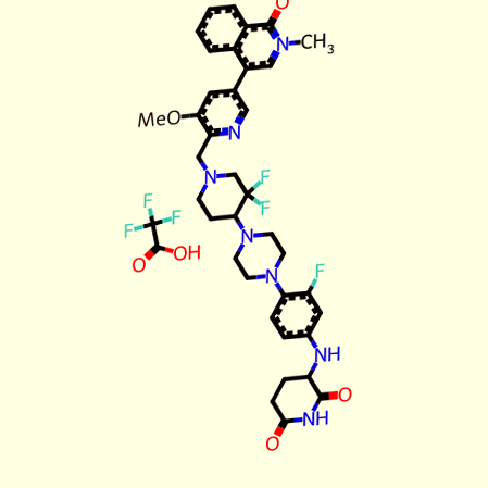 COc1cc(-c2cn(C)c(=O)c3ccccc23)cnc1CN1CCC(N2CCN(c3ccc(NC4CCC(=O)NC4=O)cc3F)CC2)C(F)(F)C1.O=C(O)C(F)(F)F